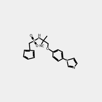 CC(C#N)(COc1ccc(-n2ccnc2)cc1)NS(=O)(=O)Cc1ccccc1